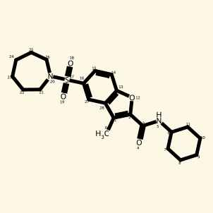 Cc1c(C(=O)NC2CCCCC2)oc2ccc(S(=O)(=O)N3CCCCCC3)cc12